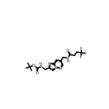 CC(C)(C)OC(=O)NCc1cn2ncc(CNC(=O)CCC(F)(F)F)cc2n1